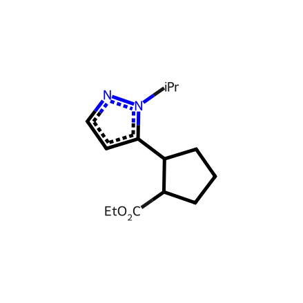 CCOC(=O)C1CCCC1c1ccnn1C(C)C